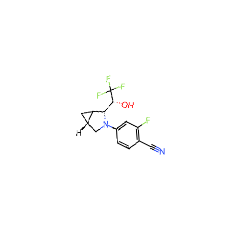 N#Cc1ccc(N2C[C@@H]3CC3[C@@H]2[C@@H](O)C(F)(F)F)cc1F